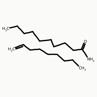 C=CCCCCCCC.CCCCCCCCCC(N)=O